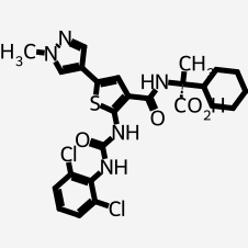 Cn1cc(-c2cc(C(=O)N[C@](C)(C(=O)O)C3CCCCC3)c(NC(=O)Nc3c(Cl)cccc3Cl)s2)cn1